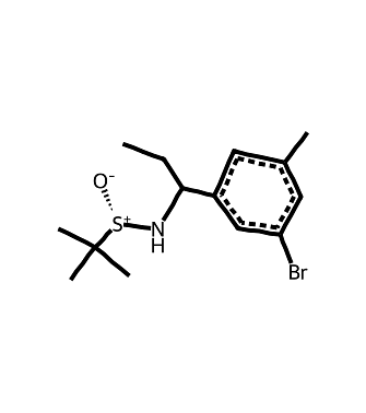 CCC(N[S@@+]([O-])C(C)(C)C)c1cc(C)cc(Br)c1